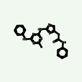 Cc1nc(Nc2ccccc2)nc(Nc2ncc(CC(=O)Nc3ccccc3)s2)n1